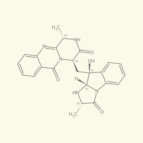 C[C@@H]1N[C@H]2N(C1=O)c1ccccc1[C@@]2(O)C[C@@H]1C(=O)N[C@@H](C)c2nc3ccccc3c(=O)n21